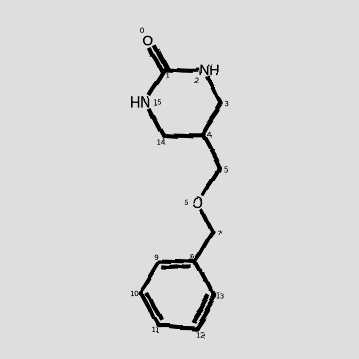 O=C1NCC(COCc2ccccc2)CN1